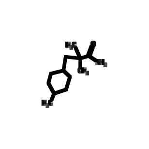 CC1CCC(CC(C)(C)C(N)=O)CC1